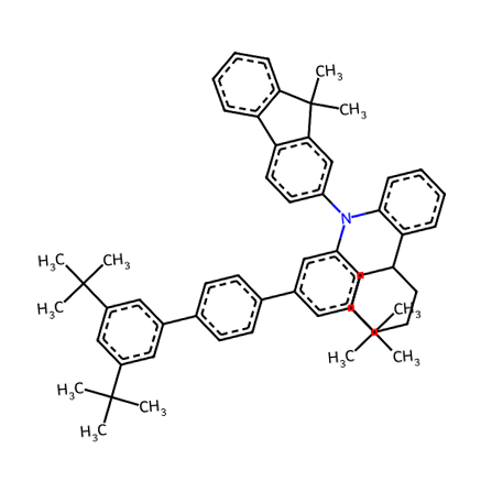 CC(C)(C)c1cc(-c2ccc(-c3cc(C(C)(C)C)cc(C(C)(C)C)c3)cc2)cc(N(c2ccc3c(c2)C(C)(C)c2ccccc2-3)c2ccccc2C2CCCCC2)c1